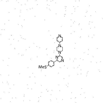 CSc1ccc(-c2cncc(N3CCN(c4ccncc4)CC3)n2)cc1